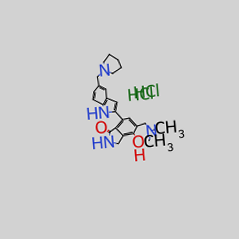 CN(C)Cc1cc(-c2cc3cc(CN4CCCCC4)ccc3[nH]2)c2c(c1O)CNC2=O.Cl.Cl